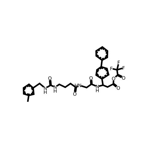 Cc1cccc(CNC(=O)NCCCC(=O)NCC(=O)NC(CC(=O)OC(=O)C(F)(F)F)c2ccc(-c3ccccc3)cc2)c1